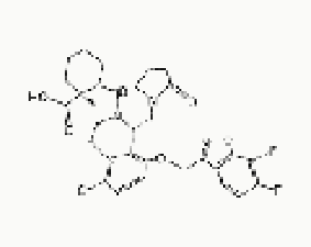 C[C@@]1(C(=O)O)CCCCC1C(=O)N1CCc2c(Cl)ccc(OCc3noc4c(F)c(F)ccc34)c2[C@H]1CN1CCCC1=O